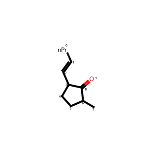 CCCC=CC1CCC(C)C1=O